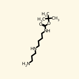 CC(C)(C)OC(=O)NCCCCNCCCN